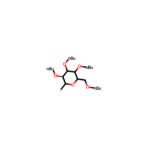 CCCCOCC1OC(I)[C@@H](OCCCC)C(OCCCC)C1OCCCC